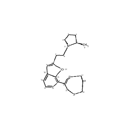 C[C@@H]1CCCN1CCc1cc2cccc(C3=CCCCCC3)c2o1